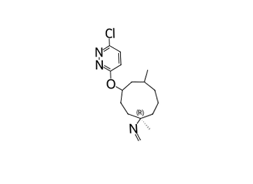 C=N[C@]1(C)CCCC(C)CC(Oc2ccc(Cl)nn2)CC1